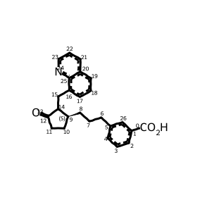 O=C(O)c1cccc(CCC[C@H]2CCC(=O)C2Cc2cccc3cccnc23)c1